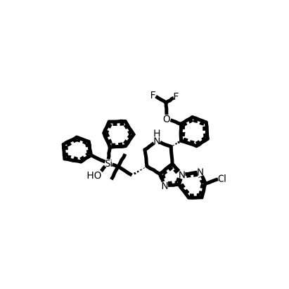 CC(C)(C[C@@H]1CN[C@H](c2ccccc2OC(F)F)c2c1nc1ccc(Cl)nn21)[Si](O)(c1ccccc1)c1ccccc1